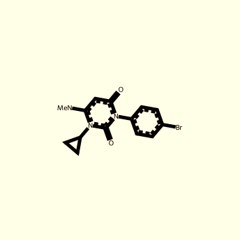 CNc1cc(=O)n(-c2ccc(Br)cc2)c(=O)n1C1CC1